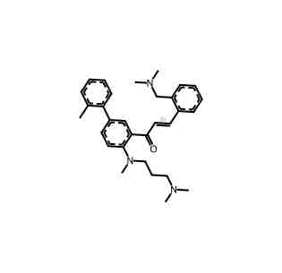 Cc1ccccc1-c1ccc(N(C)CCCN(C)C)c(C(=O)/C=C/c2ccccc2CN(C)C)c1